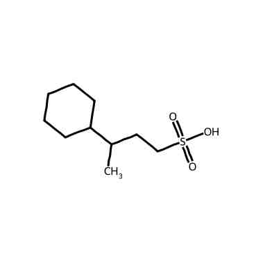 CC(CCS(=O)(=O)O)C1CCCCC1